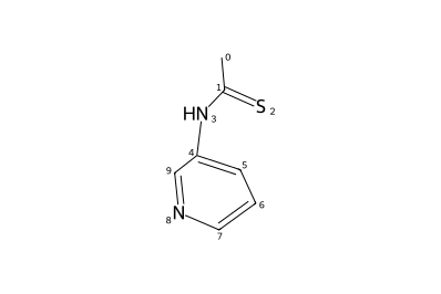 CC(=S)Nc1cccnc1